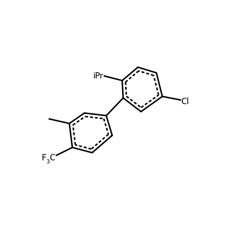 Cc1cc(-c2cc(Cl)ccc2C(C)C)ccc1C(F)(F)F